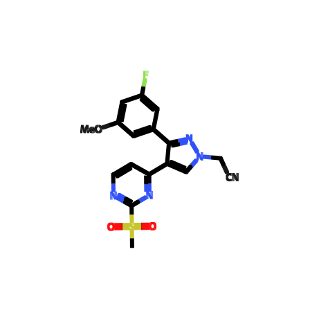 COc1cc(F)cc(-c2nn(CC#N)cc2-c2ccnc(S(C)(=O)=O)n2)c1